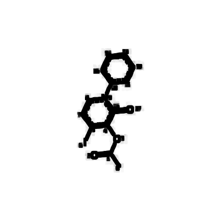 CC(=O)Oc1c(I)ccn(-c2ccccc2)c1=O